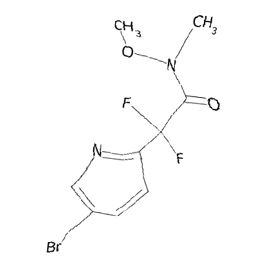 CON(C)C(=O)C(F)(F)c1ccc(Br)cn1